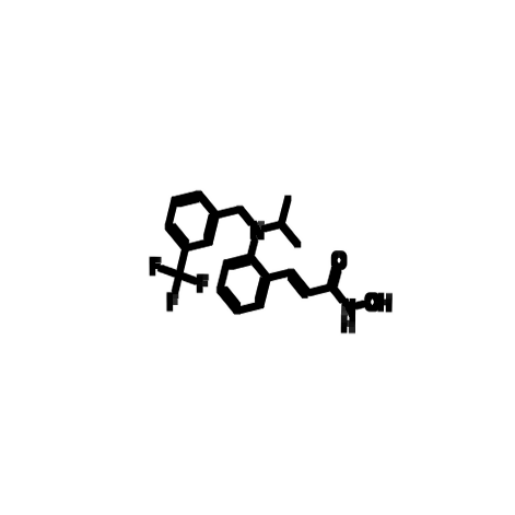 CC(C)N(Cc1cccc(C(F)(F)F)c1)c1ccccc1C=CC(=O)NO